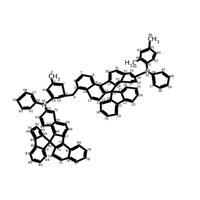 Cc1cc(Cc2cccc3c4c(ccc23)C2(c3ccccc3-c3ccccc32)c2c-4ccc3cc(N(c4ccccc4)c4ccc(C)cc4C)ccc23)cc(N(c2ccccc2)c2ccc3c4c(ccc3c2)-c2c(ccc3ccccc23)C42c3ccccc3-c3ccccc32)c1